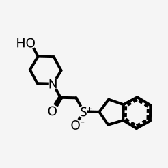 O=C(C[S+]([O-])C1Cc2ccccc2C1)N1CCC(O)CC1